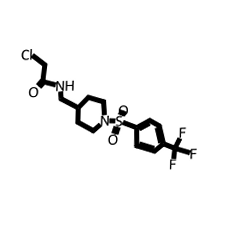 O=C(CCl)NCC1CCN(S(=O)(=O)c2ccc(C(F)(F)F)cc2)CC1